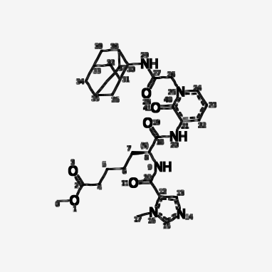 COC(=O)CCCC[C@H](NC(=O)c1cncn1C)C(=O)Nc1cccn(CC(=O)NC2C3CC4CC(C3)CC2C4)c1=O